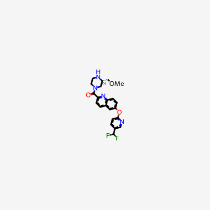 COC[C@@H]1CN(C(=O)c2ccc3cc(Oc4ccc(C(F)F)cn4)ccc3n2)CCN1